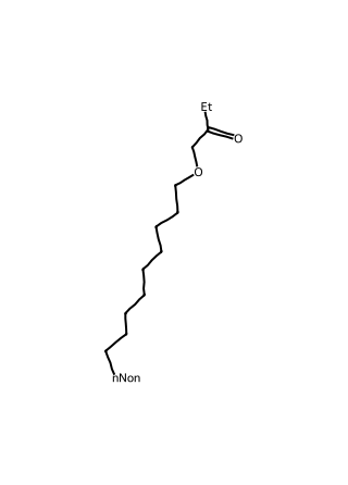 CCCCCCCCCCCCCCCCCCOCC(=O)CC